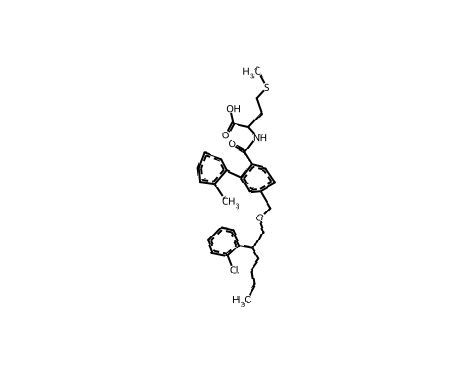 CCCCC(COCc1ccc(C(=O)NC(CCSC)C(=O)O)c(-c2ccccc2C)c1)c1ccccc1Cl